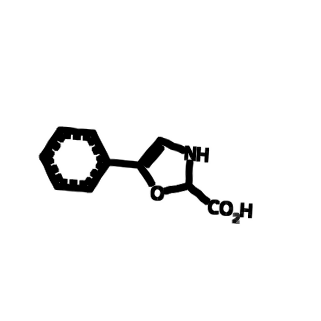 O=C(O)C1NC=C(c2ccccc2)O1